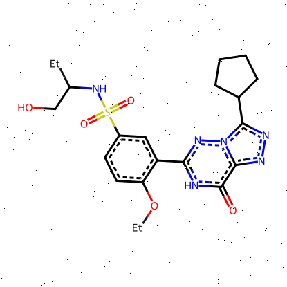 CCOc1ccc(S(=O)(=O)NC(CC)CO)cc1-c1nn2c(C3CCCC3)nnc2c(=O)[nH]1